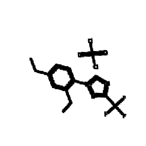 CCc1ccc(-n2cnc(C(F)(F)F)n2)c(CC)c1.O=S(=O)(Cl)Cl